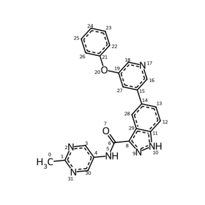 Cc1ncc(NC(=O)c2n[nH]c3ccc(-c4cncc(Oc5ccccc5)c4)cc23)cn1